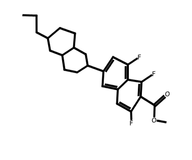 CCCC1CCC2CC(c3cc(F)c4c(F)c(C(=O)OC)c(F)cc4c3)CCC2C1